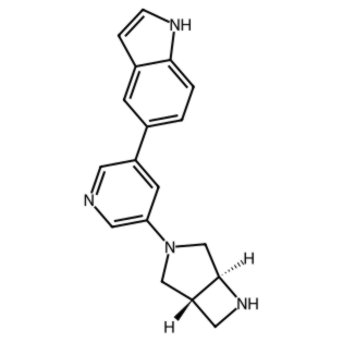 c1cc2cc(-c3cncc(N4C[C@H]5CN[C@@H]5C4)c3)ccc2[nH]1